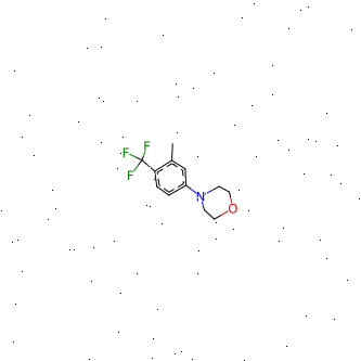 Cc1cc(N2CCOCC2)ccc1C(F)(F)F